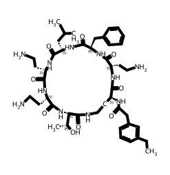 CCc1cccc(CC(=O)N[C@H]2CCNC(=O)[C@H]([C@@H](C)O)NC(=O)[C@H](CCN)NC(=O)[C@H](CCN)NC(=O)[C@H](CC(C)C)NC(=O)[C@@H](Cc3ccccc3)NC(=O)[C@H](CCN)NC2=O)c1